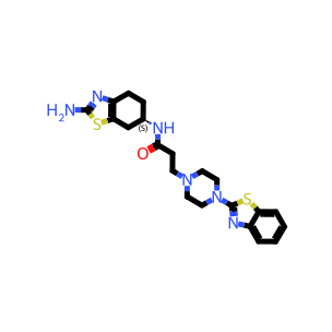 Nc1nc2c(s1)C[C@@H](NC(=O)CCN1CCN(c3nc4ccccc4s3)CC1)CC2